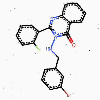 O=c1c2ccccc2nc(-c2ccccc2F)n1NCc1cccc(Br)c1